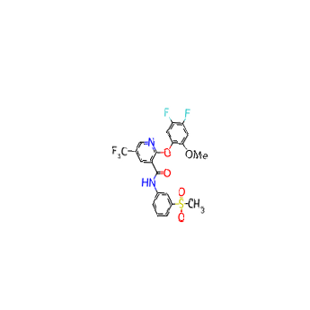 COc1cc(F)c(F)cc1Oc1ncc(C(F)(F)F)cc1C(=O)Nc1cccc(S(C)(=O)=O)c1